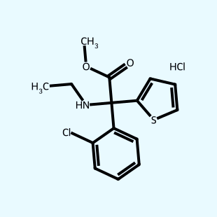 CCNC(C(=O)OC)(c1cccs1)c1ccccc1Cl.Cl